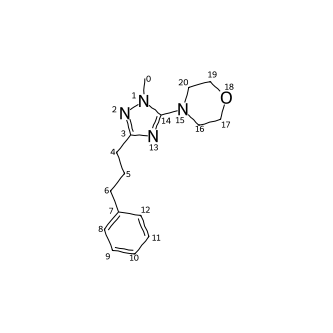 Cn1nc(CCCc2ccccc2)nc1N1CCOCC1